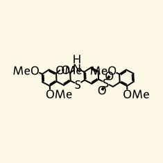 COc1cc(OC)c(/C=C2/Sc3cc(S(=O)(=O)Cc4c(OC)cccc4OC)ccc3NC2=O)c(OC)c1